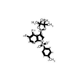 Cc1ccc(S(=O)(=O)n2cc(B3OC(C)(C)C(C)(C)O3)c3c(F)c(F)cnc32)cc1